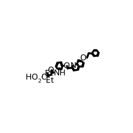 CCC(CC)(CC(=O)Nc1cccc(OCc2ccc3ccc(OCCc4ccccc4)cc3n2)c1)C(=O)O